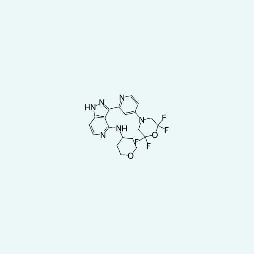 FC1(F)CN(c2ccnc(-c3n[nH]c4ccnc(NC5CCOCC5)c34)c2)CC(F)(F)O1